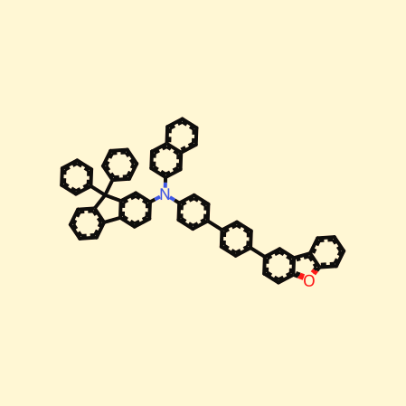 c1ccc(C2(c3ccccc3)c3ccccc3-c3ccc(N(c4ccc(-c5ccc(-c6ccc7oc8ccccc8c7c6)cc5)cc4)c4ccc5ccccc5c4)cc32)cc1